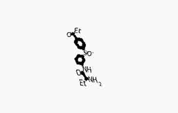 CCC(=O)c1ccc([S+]([O-])c2cccc(NC(=O)C(N)CC)c2)cc1